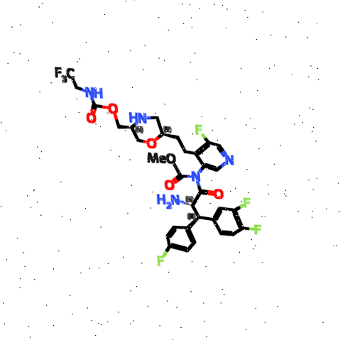 COC(=O)N(C(=O)[C@@H](N)[C@H](c1ccc(F)cc1)c1ccc(F)c(F)c1)c1cncc(F)c1CC[C@@H]1CN[C@H](COC(=O)NCC(F)(F)F)CO1